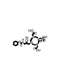 O=C(O)CN1CCN(CC(O)CNC(=O)OC2CCCCC2)CCN(CC(=O)O)CCN(CP(=O)(O)O)CC1